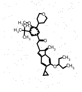 C=C1C(CC(=O)c2cc(C3CCOCC3)c(OC)c(C(C)(C)C)c2)C=C2C=C(C3CC3)C(OC(CC)CC)=CC12